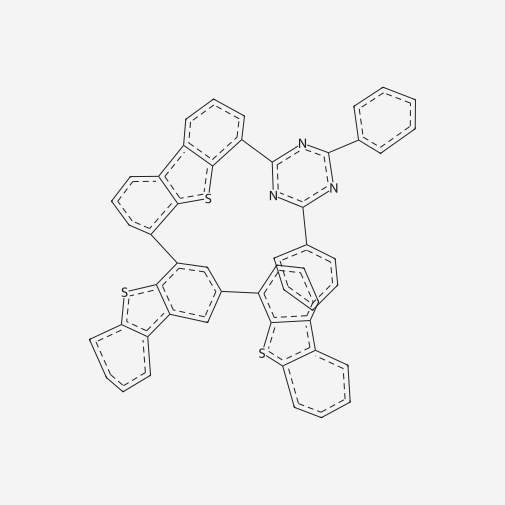 c1ccc(-c2nc(-c3ccccc3)nc(-c3cccc4c3sc3c(-c5cc(-c6cccc7c6sc6ccccc67)cc6c5sc5ccccc56)cccc34)n2)cc1